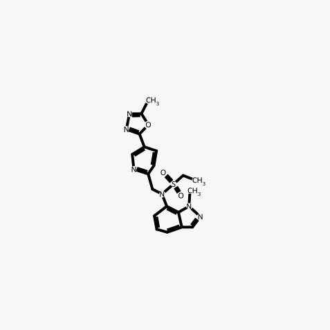 CCS(=O)(=O)N(Cc1ccc(-c2nnc(C)o2)cn1)c1cccc2cnn(C)c12